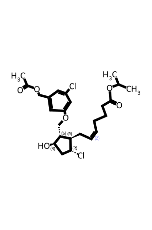 CC(=O)OCc1cc(Cl)cc(OC[C@@H]2[C@@H](C/C=C\CCCC(=O)OC(C)C)[C@H](Cl)C[C@H]2O)c1